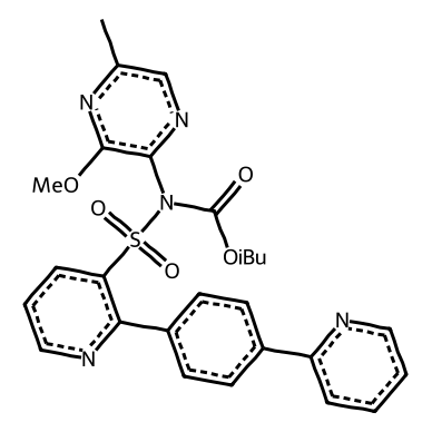 COc1nc(C)cnc1N(C(=O)OCC(C)C)S(=O)(=O)c1cccnc1-c1ccc(-c2ccccn2)cc1